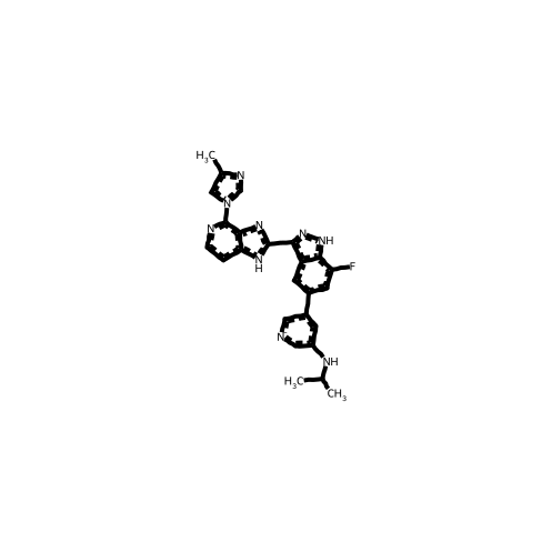 Cc1cn(-c2nccc3[nH]c(-c4n[nH]c5c(F)cc(-c6cncc(NC(C)C)c6)cc45)nc23)cn1